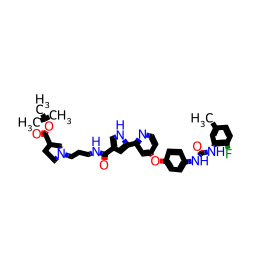 Cc1ccc(F)c(NC(=O)Nc2ccc(Oc3ccnc(-c4cc(C(=O)NCCCN5CCC(C(=O)OC(C)(C)C)C5)c[nH]4)c3)cc2)c1